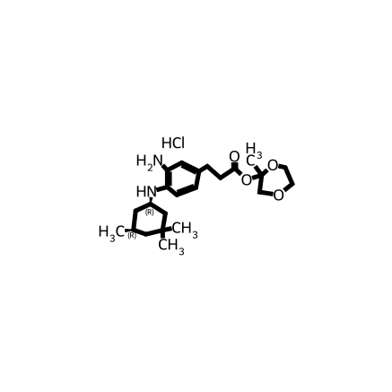 C[C@H]1C[C@@H](Nc2ccc(CCC(=O)OC3(C)COCCO3)cc2N)CC(C)(C)C1.Cl